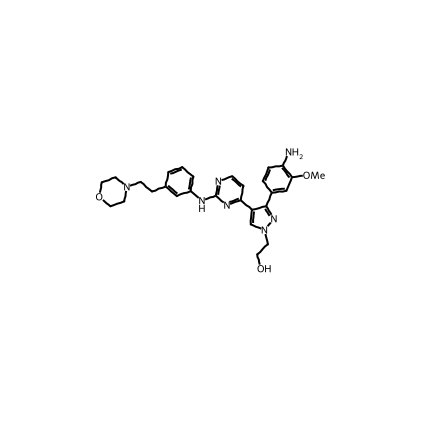 COc1cc(-c2nn(CCO)cc2-c2ccnc(Nc3cccc(CCN4CCOCC4)c3)n2)ccc1N